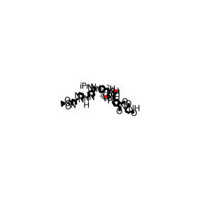 [2H]C1([2H])N(CC2CCN(c3nn(C(C)C)c4cc(Nc5ccnc(-c6cnn(S(=O)(=O)C7CC7)c6)n5)ncc34)CC2)C([2H])([2H])C([2H])([2H])N(c2ccc3c(c2)C(=O)N(C2CCC(=O)NC2=O)C3=O)C1([2H])[2H]